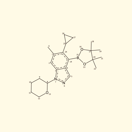 Cc1cc2c(cnn2C2CCCCO2)c(B2OC(C)(C)C(C)(C)O2)c1C1CC1